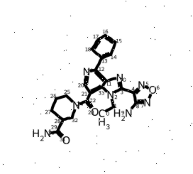 CCn1c(-c2nonc2N)nc2c(-c3ccccc3)ncc(C(=O)N3CCCC(C(N)=O)C3)c21